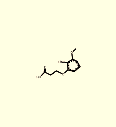 COc1cccc(OCCC(=O)O)c1Cl